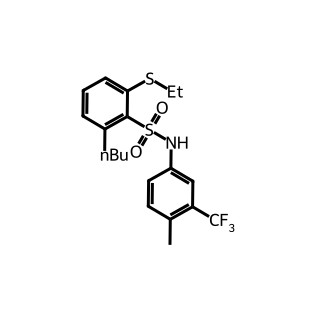 CCCCc1cccc(SCC)c1S(=O)(=O)Nc1ccc(C)c(C(F)(F)F)c1